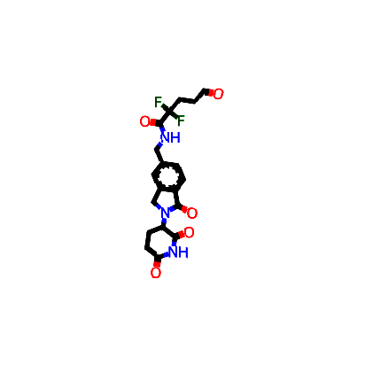 O=CCCC(F)(F)C(=O)NCc1ccc2c(c1)CN(C1CCC(=O)NC1=O)C2=O